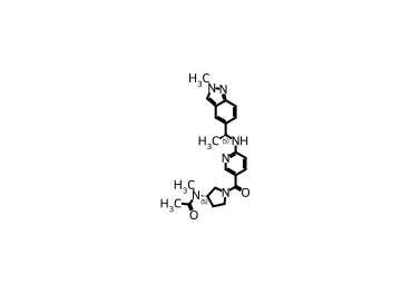 CC(=O)N(C)[C@H]1CCN(C(=O)c2ccc(N[C@@H](C)c3ccc4nn(C)cc4c3)nc2)C1